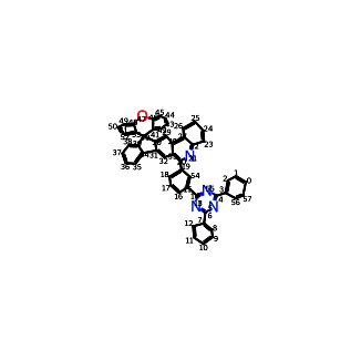 c1ccc(-c2nc(-c3ccccc3)nc(-c3cccc(-c4nc5ccccc5c5cc6c(cc45)-c4ccccc4C64c5ccccc5Oc5ccccc54)c3)n2)cc1